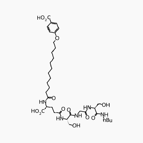 CCCCNC(=O)[C@H](CO)NC(=O)CNC(=O)[C@H](CO)NC(=O)CC[C@H](NC(=O)CCCCCCCCCCCOc1ccc(C(=O)O)cc1)C(=O)O